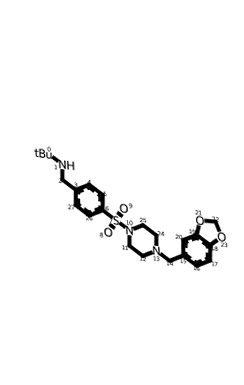 CC(C)(C)NCc1ccc(S(=O)(=O)N2CCN(Cc3ccc4c(c3)OCO4)CC2)cc1